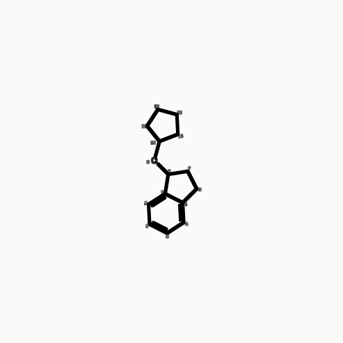 c1ccc2c(c1)CCC2OC1CCCC1